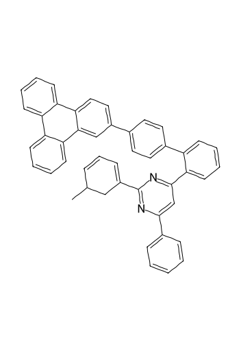 CC1C=CC=C(c2nc(-c3ccccc3)cc(-c3ccccc3-c3ccc(-c4ccc5c6ccccc6c6ccccc6c5c4)cc3)n2)C1